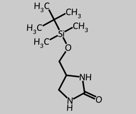 CC(C)(C)[Si](C)(C)OCC1CNC(=O)N1